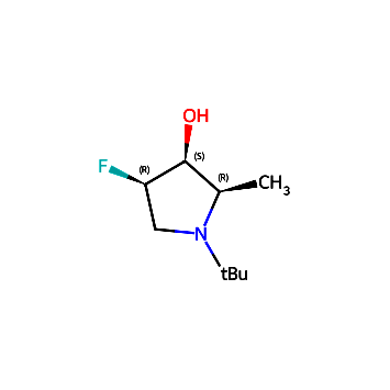 C[C@@H]1[C@H](O)[C@H](F)CN1C(C)(C)C